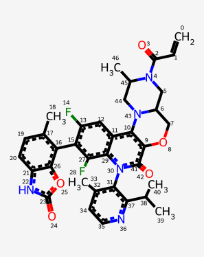 C=CC(=O)N1CC2COc3c(c4cc(F)c(-c5c(C)ccc6[nH]c(=O)oc56)c(F)c4n(-c4c(C)ccnc4C(C)C)c3=O)N2CC1C